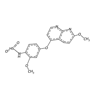 COc1ccc2c(Oc3ccc(N[SH](=O)=O)c(OC)c3)ccnc2n1